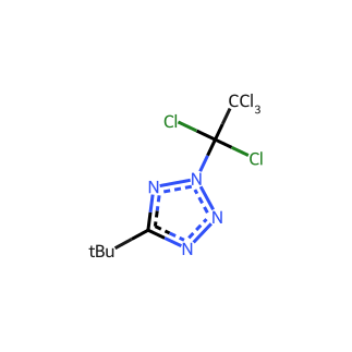 CC(C)(C)c1nnn(C(Cl)(Cl)C(Cl)(Cl)Cl)n1